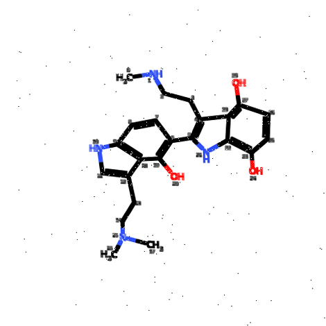 CNCCc1c(-c2ccc3[nH]cc(CCN(C)C)c3c2O)[nH]c2c(O)ccc(O)c12